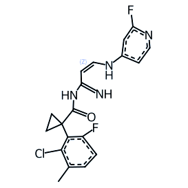 Cc1ccc(F)c(C2(C(=O)NC(=N)/C=C\Nc3ccnc(F)c3)CC2)c1Cl